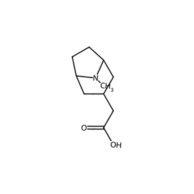 CN1C2CCC1CC(CC(=O)O)C2